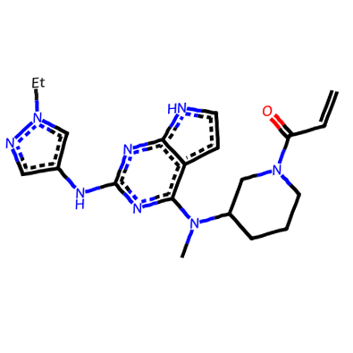 C=CC(=O)N1CCCC(N(C)c2nc(Nc3cnn(CC)c3)nc3[nH]ccc23)C1